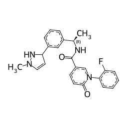 C[C@@H](NC(=O)c1ccc(=O)n(-c2ccccc2F)c1)c1cccc(C2C=CN(C)N2)c1